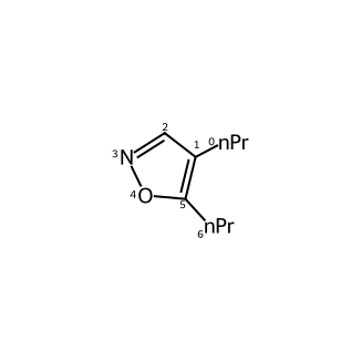 CCCc1cnoc1CCC